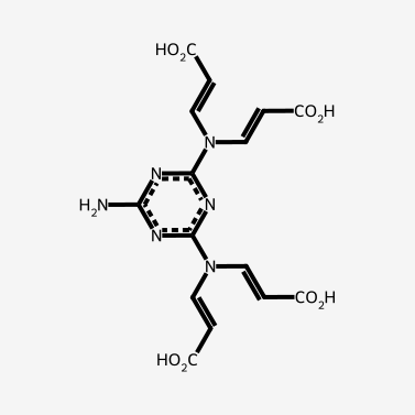 Nc1nc(N(C=CC(=O)O)C=CC(=O)O)nc(N(C=CC(=O)O)C=CC(=O)O)n1